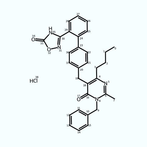 CCCCc1nc(C)n(Cc2ccccc2)c(=O)c1Cc1ccc(-c2ccccc2-c2noc(=O)[nH]2)cc1.Cl